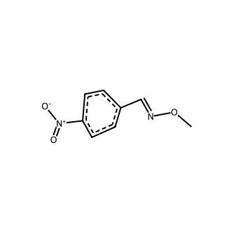 CON=Cc1ccc([N+](=O)[O-])cc1